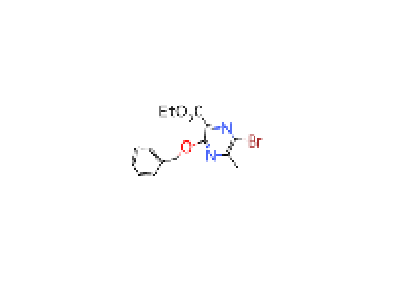 CCOC(=O)c1nc(Br)c(C)nc1OCc1ccccc1